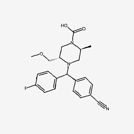 COC[C@@H]1CN(C(=O)O)[C@@H](C)CN1C(c1ccc(F)cc1)c1ccc(C#N)cc1